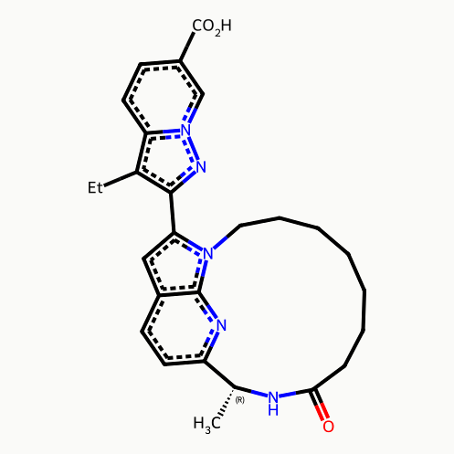 CCc1c(-c2cc3ccc4nc3n2CCCCCCCC(=O)N[C@@H]4C)nn2cc(C(=O)O)ccc12